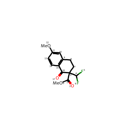 COC(=O)C1(C(F)F)CCc2cc(OC)ccc2C1=O